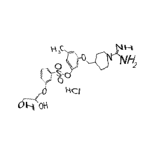 Cc1cc(OCC2CCN(C(=N)N)CC2)cc(OS(=O)(=O)c2cccc(OCC(O)CO)c2)c1.Cl